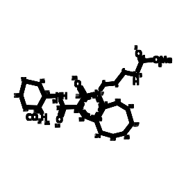 COC(=O)NCCCn1c2c(cc(C(=O)NC3CCCCC3C(=O)O)c1=O)CCCCCC2